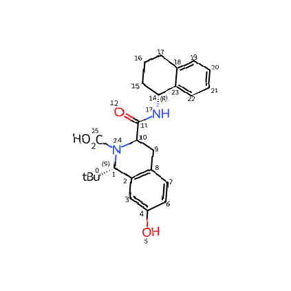 CC(C)(C)[C@H]1c2cc(O)ccc2CC(C(=O)N[C@@H]2CCCc3ccccc32)N1C(=O)O